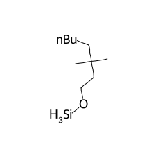 CCCCCC(C)(C)CCO[SiH3]